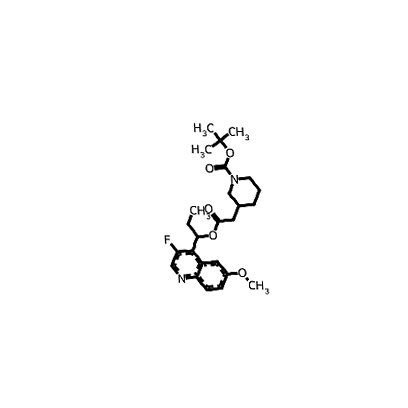 CCC(OC(=O)CC1CCCN(C(=O)OC(C)(C)C)C1)c1c(F)cnc2ccc(OC)cc12